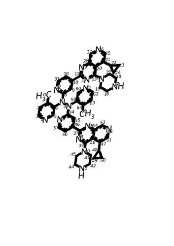 Cc1ccncc1N(c1cc(-c2nc(N3CCNCC3)c3c(C4CC4)cncc3n2)ccn1)N(c1cc(-c2nc(N3CCNCC3)c3c(C4CC4)cncc3n2)ccn1)c1cnccc1C